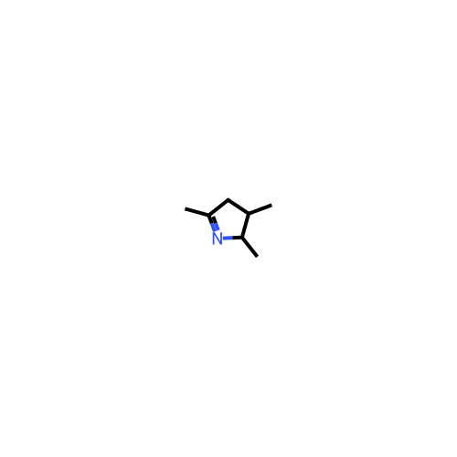 CC1=NC(C)C(C)C1